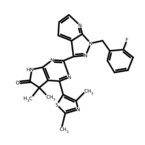 Cc1nc(C)c(-c2nc(-c3nn(Cc4ccccc4F)c4ncccc34)nc3c2C(C)(C)C(=O)N3)s1